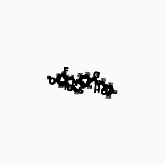 COc1cc(F)c(CN2C(=O)CSc3cc(C(=O)NCc4ccco4)ccc32)c(F)c1